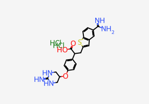 Cl.Cl.N=C1NCC(Oc2ccc(C(Cc3cc4cc(C(=N)N)ccc4s3)C(=O)O)cc2)CN1